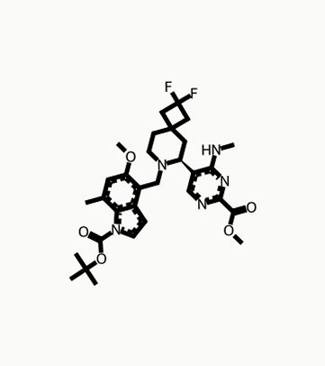 CNc1nc(C(=O)OC)ncc1[C@@H]1CC2(CCN1Cc1c(OC)cc(C)c3c1ccn3C(=O)OC(C)(C)C)CC(F)(F)C2